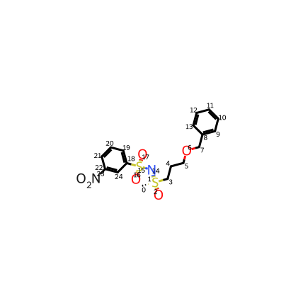 C[S@@](=O)(CCCOCc1ccccc1)=NS(=O)(=O)c1cccc([N+](=O)[O-])c1